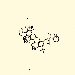 CN(C)[C@@H]1C(O)=C(C(N)=O)C(=O)[C@@]2(O)C(O)=C3C(=O)c4c(O)c(C(C)(C)C)cc(CNC(=O)c5ccccn5)c4CC3CC12